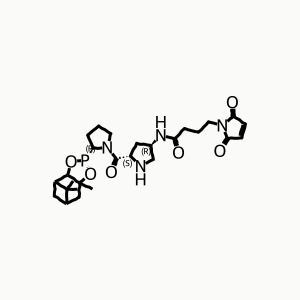 CC12CC3CC(C1OP([C@@H]1CCCN1C(=O)[C@@H]1C[C@@H](NC(=O)CCCN4C(=O)C=CC4=O)CN1)O2)C3(C)C